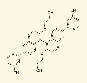 N#Cc1cccc(-c2ccc3c(-c4c(OCCO)ccc5cc(-c6cccc(C#N)c6)ccc45)c(OCCO)ccc3c2)c1